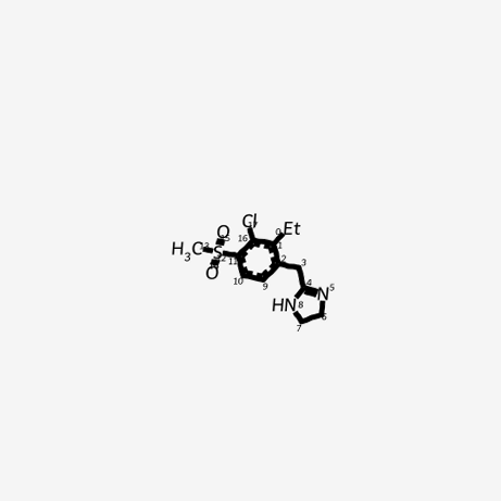 CCc1c(CC2=NCCN2)ccc(S(C)(=O)=O)c1Cl